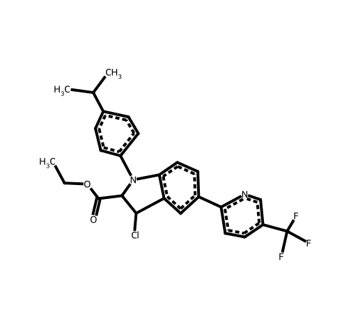 CCOC(=O)C1C(Cl)c2cc(-c3ccc(C(F)(F)F)cn3)ccc2N1c1ccc(C(C)C)cc1